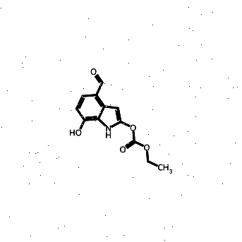 CCOC(=O)Oc1cc2c(C=O)ccc(O)c2[nH]1